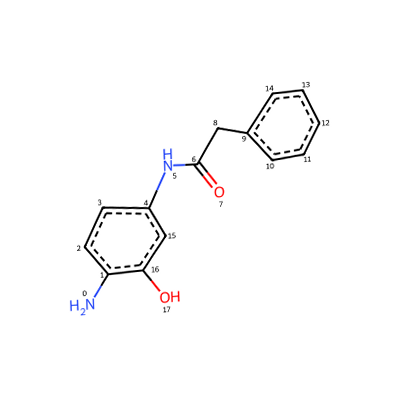 Nc1ccc(NC(=O)Cc2ccccc2)cc1O